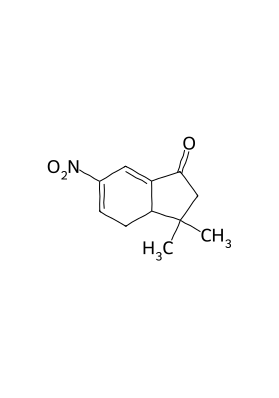 CC1(C)CC(=O)C2=CC([N+](=O)[O-])=CCC21